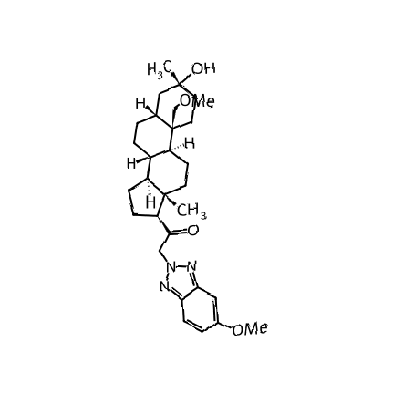 COC[C@]12CC[C@@](C)(O)C[C@H]1CC[C@H]1[C@@H]3CC[C@H](C(=O)Cn4nc5ccc(OC)cc5n4)[C@@]3(C)CC[C@@H]12